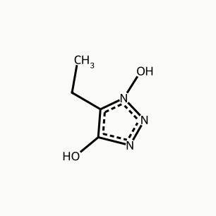 CCc1c(O)nnn1O